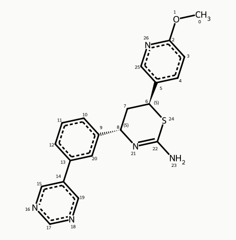 COc1ccc([C@@H]2C[C@@H](c3cccc(-c4cncnc4)c3)N=C(N)S2)cn1